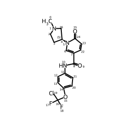 CN1CC[C@H](n2cc(C(=O)Nc3ccc(OC(F)(F)Cl)cc3)ccc2=O)C1